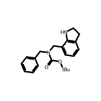 CC(C)(C)OC(=O)N(Cc1ccccc1)Cc1cccc2c1NCC2